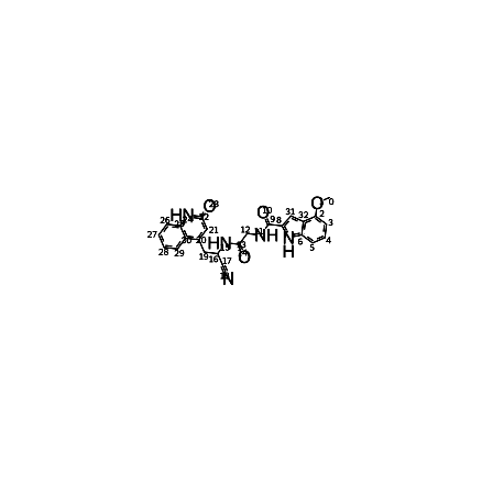 COc1cccc2[nH]c(C(=O)NCC(=O)NC(C#N)Cc3cc(=O)[nH]c4ccccc34)cc12